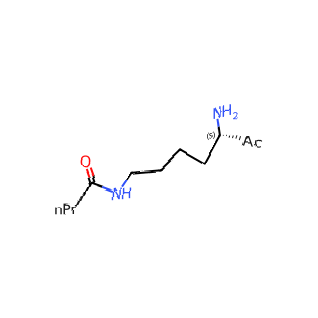 CCCC(=O)NCCCC[C@H](N)C(C)=O